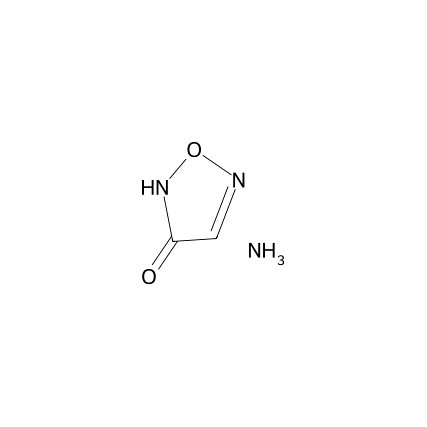 N.O=c1cno[nH]1